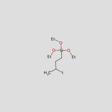 CCO[Si](CCC(C)I)(OCC)OCC